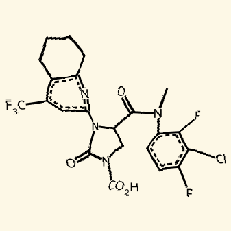 CN(C(=O)C1CN(C(=O)O)C(=O)N1c1cc(C(F)(F)F)c2c(n1)CCCC2)c1ccc(F)c(Cl)c1F